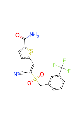 N#CC(=Cc1ccc(C(N)=O)s1)S(=O)(=O)Cc1cccc(C(F)(F)F)c1